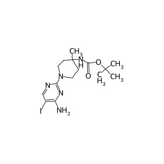 CC1(NC(=O)OC(C)(C)C)CCN(c2ncc(I)c(N)n2)CC1